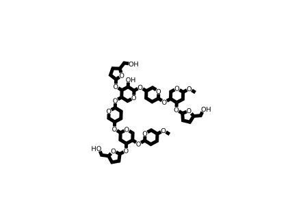 COC1CCC(OC2COC(OC3CCC(OC4COC(OC5CCC(OC6COC(OC)CC6OC6CCC(CO)O6)OC5)C(O)C4OC4CCC(CO)O4)OC3)CC2OC2CCC(CO)O2)OC1